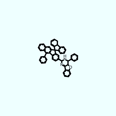 C1=CCC2C(=C1)C1(c3cc(C4N=C5c6ccccc6OC5C(c5ccccc5)N4)ccc3-c3c1cc1ccccc1c3-c1ccccc1)c1ccccc12